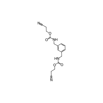 N#CCCOC(=O)NCc1cccc(CNC(=O)OCCC#N)c1